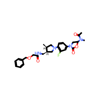 CC(=O)N(C)C1CN(c2ccc(N3C[C@@H](CNC(=O)COCc4ccccc4)[C@@H](C)C3)c(F)c2)C(=O)O1